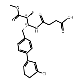 COC(=O)[C@@H](F)[C@@H](Cc1ccc(C2=CCCC(Cl)=C2)cc1)NC(=O)CCC(=O)O